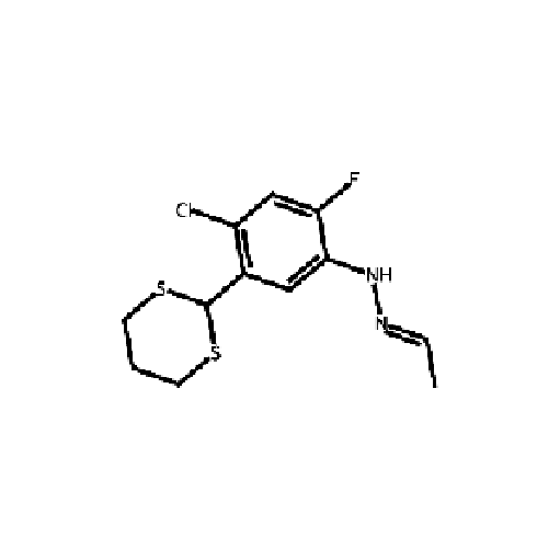 CC=NNc1cc(C2SCCCS2)c(Cl)cc1F